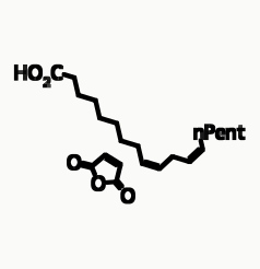 CCCCC/C=C\C/C=C\CCCCCCCC(=O)O.O=C1C=CC(=O)O1